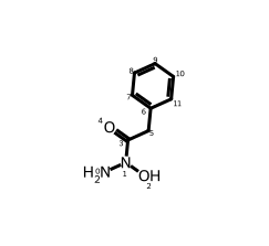 NN(O)C(=O)Cc1ccccc1